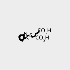 O=C(O)CCC(CSc1nc2ccccc2s1)C(=O)O